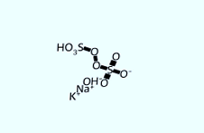 O=S(=O)([O-])OOS(=O)(=O)O.[K+].[Na+].[OH-]